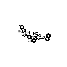 Cc1cc(C(=O)NC(Cc2ccc(Cl)cc2)C(=O)O)ccc1-c1cccc2c(CCCOc3cccc4ccccc34)c(C(=O)O)[nH]c12